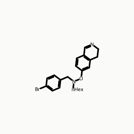 CCCCCCN(Cc1ccc(Br)cc1)Oc1ccc2c(c1)CCN=C2